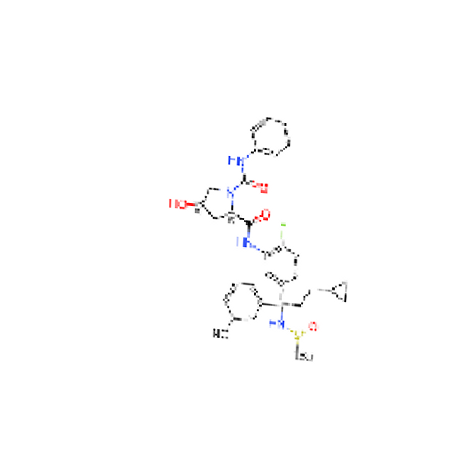 CC(C)(C)[S+]([O-])NC(CCC1CC1)(c1cccc(C#N)c1)c1ccc(F)c(NC(=O)[C@H]2C[C@@H](O)CN2C(=O)Nc2ccccc2)c1